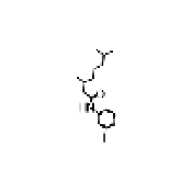 CC(C)=CCCC(C)CC(=O)Nc1cccc(I)c1